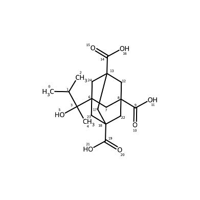 CC(C)C(C)(O)C12CC3(C(=O)O)CC(C(=O)O)(CC(C(=O)O)(C3)C1)C2